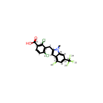 Cn1c(Cc2c(Cl)ccc(C(=O)O)c2Cl)cc2c(F)cc(C(F)(F)F)cc21